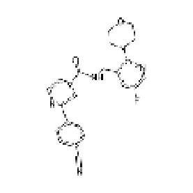 N#Cc1ccc(-c2cc(C(=O)NCc3cc(F)cnc3N3CCOCC3)ccn2)cc1